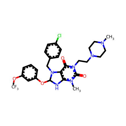 CN1CCN(CCn2c(=O)c3c(n(C)c2=O)NC(Oc2cccc(OC(F)(F)F)c2)N3Cc2ccc(Cl)cc2)CC1